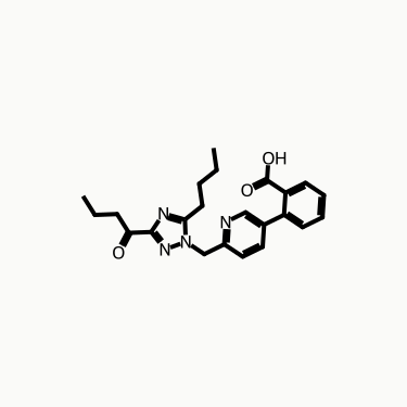 CCCCc1nc(C(=O)CCC)nn1Cc1ccc(-c2ccccc2C(=O)O)cn1